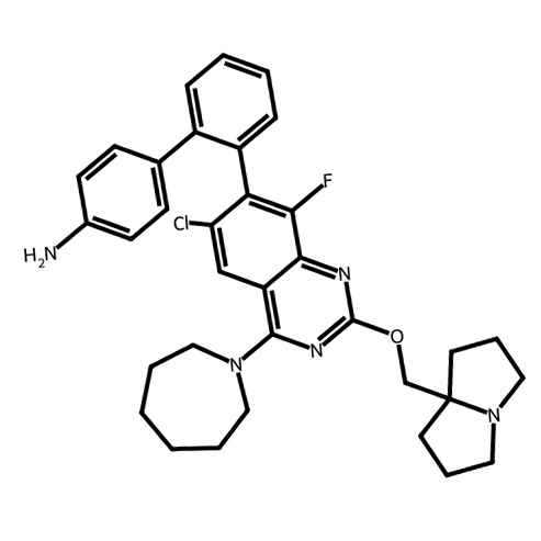 Nc1ccc(-c2ccccc2-c2c(Cl)cc3c(N4CCCCCC4)nc(OCC45CCCN4CCC5)nc3c2F)cc1